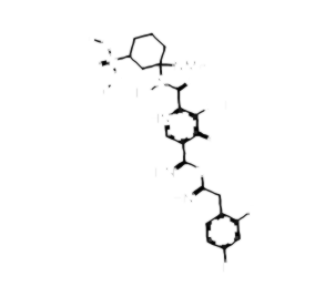 CCOP(=O)(OCC)C1CCCC(NC)(N(CC)C(=O)c2[nH]cc(C(=N)SC(=N)Cc3ccc(F)cc3F)c(=O)c2O)C1